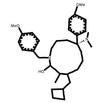 COc1ccc(CN2CCC[C@](c3ccc(OC)cc3)(N(C)C)CCCC(CC3CCC3)C(C)C2O)cc1